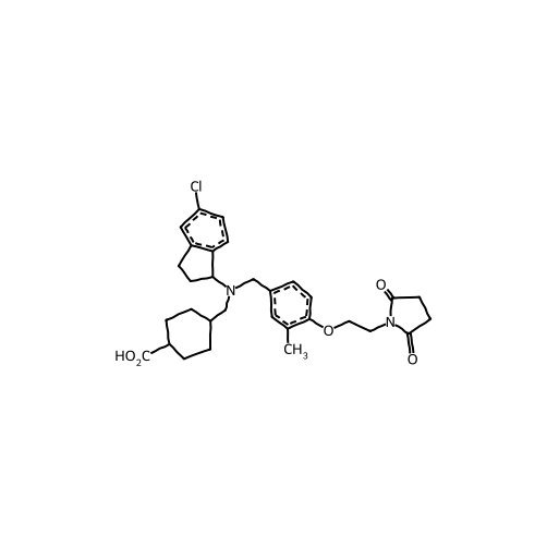 Cc1cc(CN(CC2CCC(C(=O)O)CC2)C2CCc3cc(Cl)ccc32)ccc1OCCN1C(=O)CCC1=O